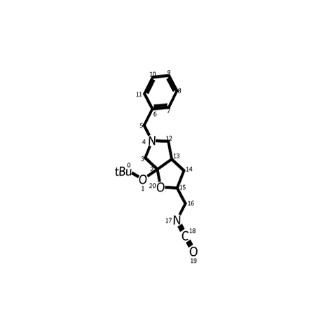 CC(C)(C)OC12CN(Cc3ccccc3)CC1CC(CN=C=O)O2